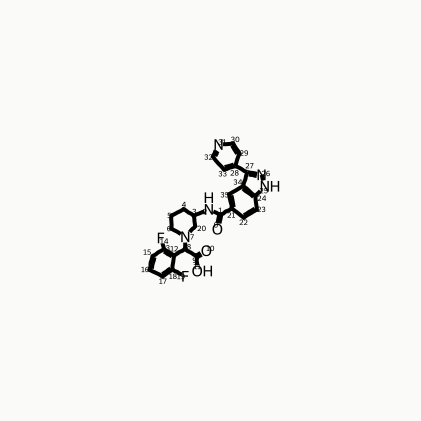 O=C(NC1CCCN(C(C(=O)O)c2c(F)cccc2F)C1)c1ccc2[nH]nc(-c3ccncc3)c2c1